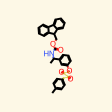 Cc1ccc(S(=O)(=O)Oc2cccc(C(C)NC(=O)OCC3c4ccccc4-c4ccccc43)c2)cc1